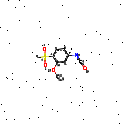 CS(=O)(=O)c1ccc(N=C=O)cc1OC(F)(F)F